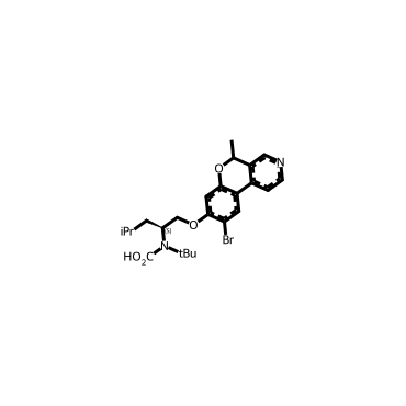 CC(C)C[C@@H](COc1cc2c(cc1Br)-c1ccncc1C(C)O2)N(C(=O)O)C(C)(C)C